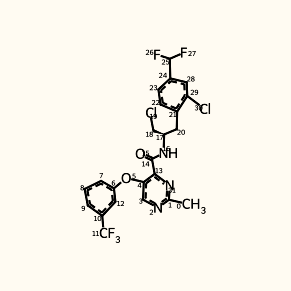 Cc1ncc(Oc2cccc(C(F)(F)F)c2)c(C(=O)N[C@@H](CCl)Cc2ccc(C(F)F)cc2Cl)n1